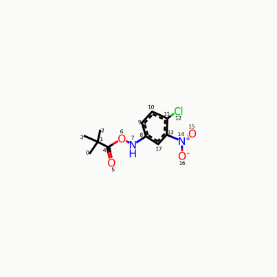 CC(C)(C)C(=O)ONc1ccc(Cl)c([N+](=O)[O-])c1